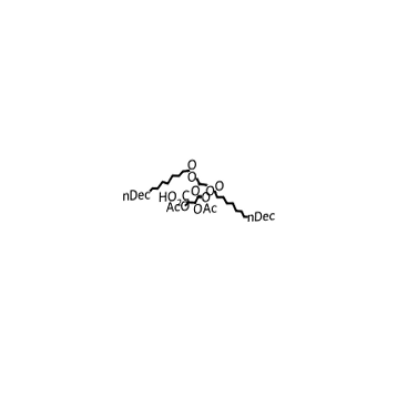 CCCCCCCCCCCCCCCCCC(=O)OCC(COC(=O)CCCCCCCCCCCCCCCCC)OC(=O)C(OC(C)=O)C(OC(C)=O)C(=O)O